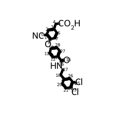 N#Cc1cc(CC(=O)O)ccc1Oc1ccc(C(=O)NCCc2ccc(Cl)c(Cl)c2)cc1